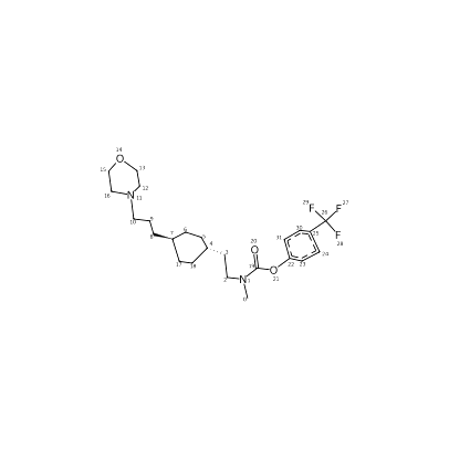 CN(CC[C@H]1CC[C@H](CCCN2CCOCC2)CC1)C(=O)Oc1ccc(C(F)(F)F)cc1